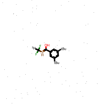 [2H]C(F)(F)[SH]=C(O)c1cc(C(C)(C)C)cc(C(C)(C)C)c1